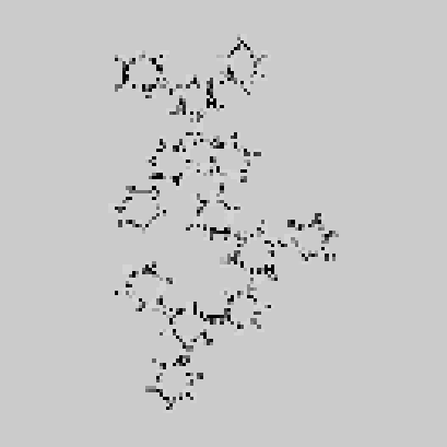 C1=CCC(c2ccc3c(c2)c2c(-c4cccc(-c5nc(-c6ccccc6)nc(-c6cccc(-c7cc(-c8ccccc8)cc(-c8ccccc8)c7)c6)n5)c4)cccc2n3-c2nc(-c3ccccc3)cc(-c3ccccc3)n2)C=C1